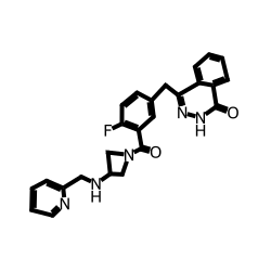 O=C(c1cc(Cc2n[nH]c(=O)c3ccccc23)ccc1F)N1CC(NCc2ccccn2)C1